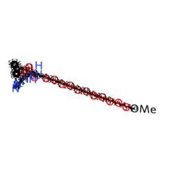 COCCOCCOCCOCCOCCOCCOCCOCCOCCOCCOCCOCCNC(=O)CN(CC(=O)NCCN=[N+]=[N-])C(=O)OCC1c2ccccc2-c2ccccc21